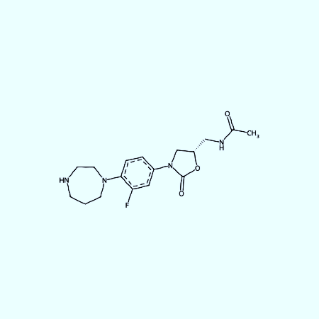 CC(=O)NC[C@H]1CN(c2ccc(N3CCCNCC3)c(F)c2)C(=O)O1